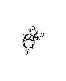 CN1CN2CN(C)C(N=O)(N=O)N(C1)C2